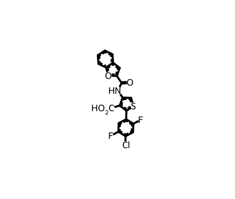 O=C(Nc1csc(-c2cc(F)c(Cl)cc2F)c1C(=O)O)c1cc2ccccc2o1